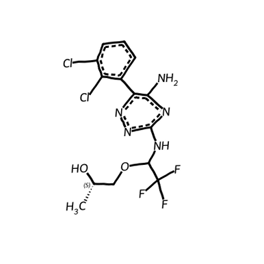 C[C@H](O)COC(Nc1nnc(-c2cccc(Cl)c2Cl)c(N)n1)C(F)(F)F